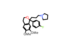 COc1cc2c(cc1OC)C(CCCN1CCCC1)(c1ccc(F)cc1)OCC2